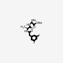 CCCC[C@H](NC(=O)[C@H](C)NC(=O)Cc1cc(F)cc(F)c1)C(=O)OC